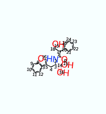 O=C(N[C@H](Cc1coc2ccccc12)B(O)O)[C@@H](CO)c1ccccc1